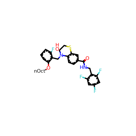 CCCCCCCCOc1cccc(F)c1CN1c2ccc(C(=O)NCc3c(F)cc(F)cc3F)cc2SCC1O